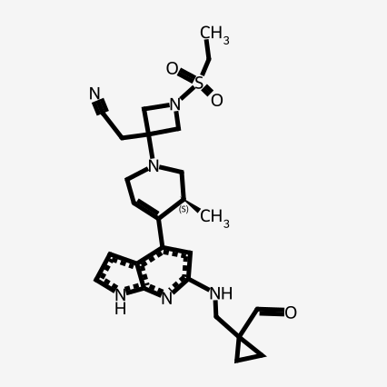 CCS(=O)(=O)N1CC(CC#N)(N2CC=C(c3cc(NCC4(C=O)CC4)nc4[nH]ccc34)[C@H](C)C2)C1